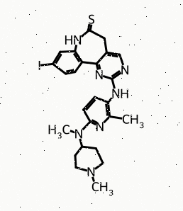 Cc1nc(N(C)C2CCN(C)CC2)ccc1Nc1ncc2c(n1)-c1ccc(I)cc1NC(=S)C2